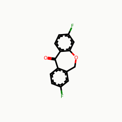 O=C1c2ccc(F)cc2COc2cc(F)ccc21